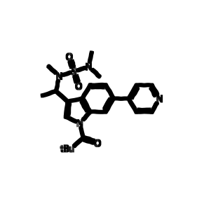 CC(c1cn(C(=O)C(C)(C)C)c2cc(-c3ccncc3)ccc12)N(C)S(=O)(=O)N(C)C